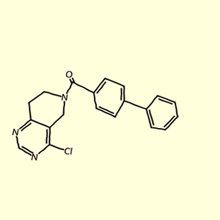 O=C(c1ccc(-c2ccccc2)cc1)N1CCc2ncnc(Cl)c2C1